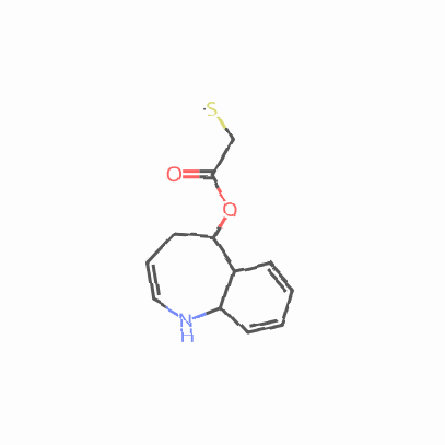 O=C(C[S])OC1CC=CNC2C=CC=CC21